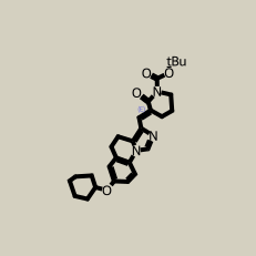 CC(C)(C)OC(=O)N1CCC/C(=C\c2ncn3c2CCc2cc(OC4CCCCC4)ccc2-3)C1=O